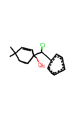 CC1(C)C=CC(O)(C(Cl)c2ccccc2)CC1